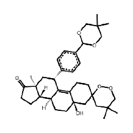 CC1(C)COC(c2ccc([C@H]3C[C@]4(C)C(=O)CC[C@H]4[C@@H]4CC[C@@]5(O)CC6(CCC5=C43)CC(C)(C)COO6)cc2)OC1